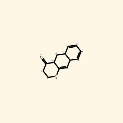 O=C1CCOC2=CC3C=CC=CC3CC12